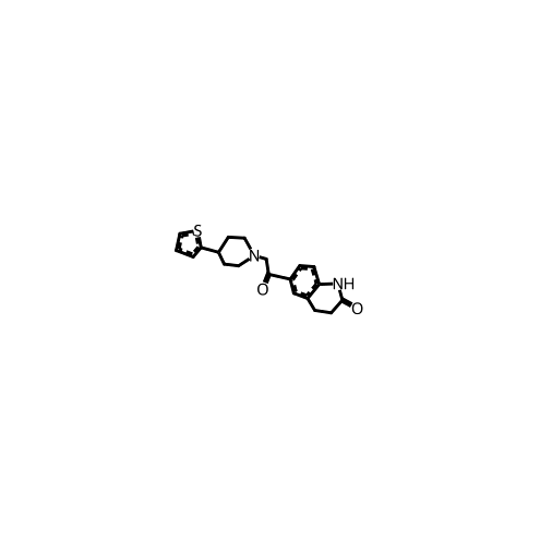 O=C1CCc2cc(C(=O)CN3CCC(c4cccs4)CC3)ccc2N1